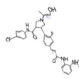 C/C(=C\O)N1CC(C(=O)Nc2ccc(Cl)cc2)C(c2ccc(/C=C/C(=O)Nc3ccccc3N)cc2F)C1